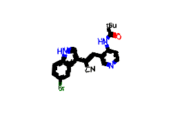 CC(C)(C)C(=O)Nc1ccncc1/C=C(\C#N)c1c[nH]c2ccc(Br)cc12